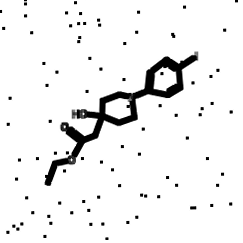 CCOC(=O)CC1(O)CCN(c2ccc(I)cc2)CC1